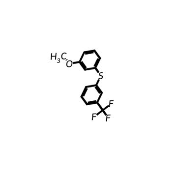 COc1cccc(Sc2cccc(C(F)(F)F)c2)c1